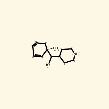 C[C@]1(C(O)C2CCNCC2)C=CC=CC1